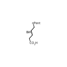 CCCCCCCCCC(=O)O.[BiH3]